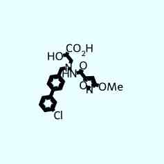 COc1cc(C(=O)NN(Cc2ccc(-c3cccc(Cl)c3)cc2)CC(O)C(=O)O)on1